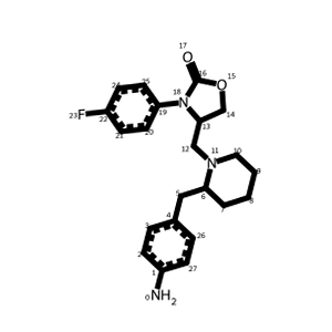 Nc1ccc(CC2CCCCN2CC2COC(=O)N2c2ccc(F)cc2)cc1